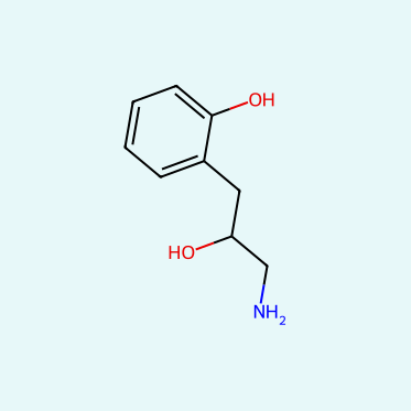 NCC(O)Cc1ccccc1O